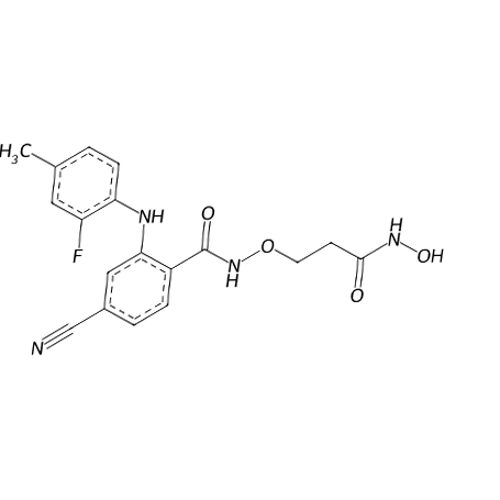 Cc1ccc(Nc2cc(C#N)ccc2C(=O)NOCCC(=O)NO)c(F)c1